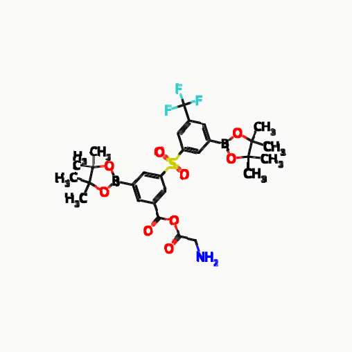 CC1(C)OB(c2cc(C(=O)OC(=O)CN)cc(S(=O)(=O)c3cc(B4OC(C)(C)C(C)(C)O4)cc(C(F)(F)F)c3)c2)OC1(C)C